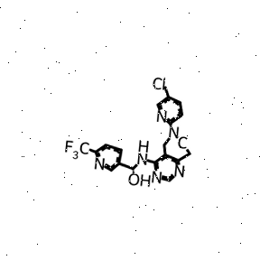 O[C@@H](Nc1ncnc2c1CN(c1ccc(Cl)cn1)CC2)c1ccc(C(F)(F)F)nc1